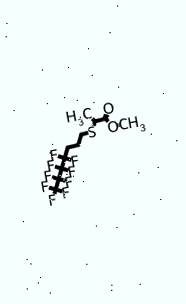 COC(=O)C(C)SCCCC(F)(F)C(F)(F)C(F)(F)C(F)(F)F